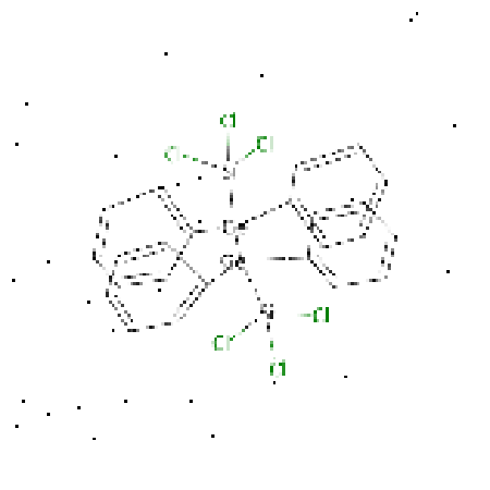 Cl[Si](Cl)(Cl)[Ge]([c]1ccccc1)([c]1ccccc1)[Ge]([c]1ccccc1)([c]1ccccc1)[Si](Cl)(Cl)Cl